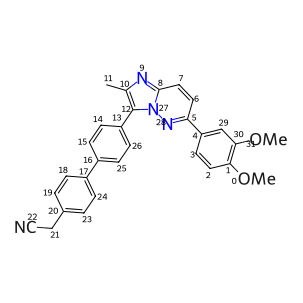 COc1ccc(-c2ccc3nc(C)c(-c4ccc(-c5ccc(CC#N)cc5)cc4)n3n2)cc1OC